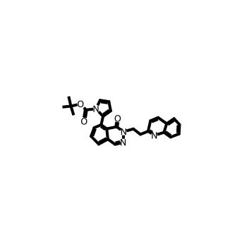 CC(C)(C)OC(=O)n1cccc1-c1cccc2cnn(CCc3ccc4ccccc4n3)c(=O)c12